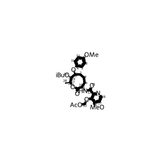 COc1ccc(O[C@H]2CCC[C@H](NC(=O)c3nccc(OC)c3OCOC(C)=O)C(=O)O[C@@H](C)[C@@H]2OCC(C)C)cc1